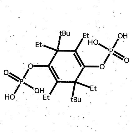 CCC1=C(OP(=O)(O)O)C(CC)(C(C)(C)C)C(CC)=C(OP(=O)(O)O)C1(CC)C(C)(C)C